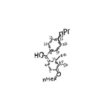 CCCCCCOc1ccc(C(O)c2ccc(CCC)cc2)c(C)c1C